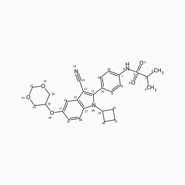 CC(C)S(=O)(=O)Nc1ccc(-c2c(C#N)c3cc(OC4COCOC4)ccc3n2C2CCC2)cc1